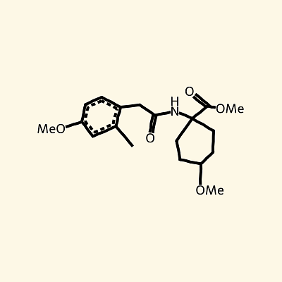 COC(=O)C1(NC(=O)Cc2ccc(OC)cc2C)CCC(OC)CC1